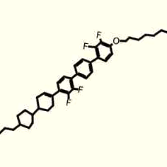 CCCCCCCOc1ccc(-c2ccc(-c3ccc(C4=CCC(C5CCC(CCC)CC5)CC4)c(F)c3F)cc2)c(F)c1F